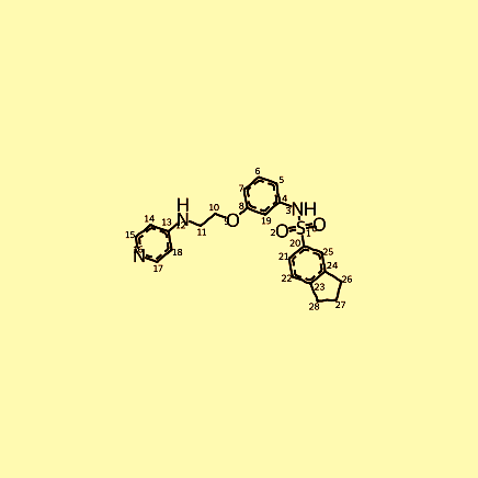 O=S(=O)(Nc1cccc(OCCNc2ccncc2)c1)c1ccc2c(c1)CCC2